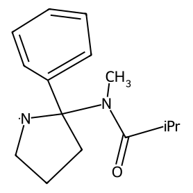 CC(C)C(=O)N(C)C1(c2ccccc2)CCC[N]1